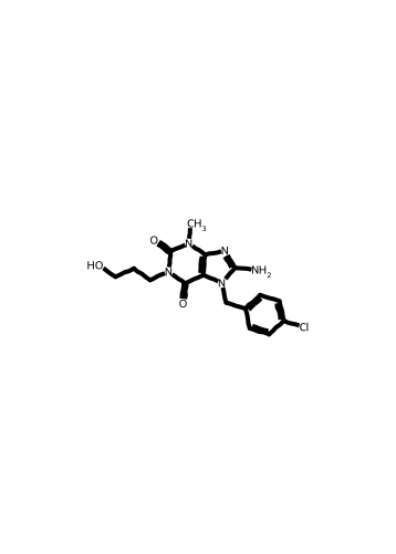 Cn1c(=O)n(CCCO)c(=O)c2c1nc(N)n2Cc1ccc(Cl)cc1